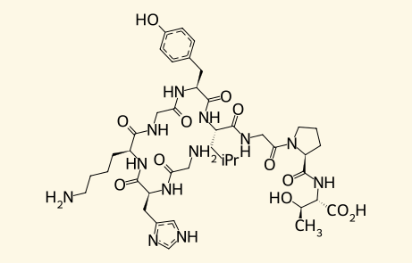 CC(C)C[C@H](NC(=O)[C@H](Cc1ccc(O)cc1)NC(=O)CNC(=O)[C@H](CCCCN)NC(=O)[C@H](Cc1c[nH]cn1)NC(=O)CN)C(=O)NCC(=O)N1CCC[C@H]1C(=O)N[C@H](C(=O)O)[C@@H](C)O